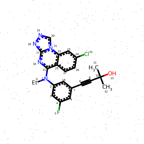 CCN(c1cc(F)cc(C#CC(C)(C)O)c1)c1nc2nncn2c2cc(Cl)ccc12